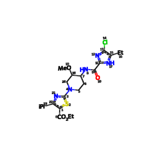 CCOC(=O)c1sc(N2CCC(NC(=O)c3nc(Cl)c(CC)[nH]3)C(OC)C2)nc1C(C)C